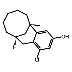 CC12CCCCC[C@H](Cc3c(Cl)cc(O)cc31)C2